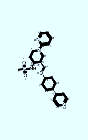 CS(=O)(=O)N[C@H]1CCN(c2ccccn2)C[C@H]1CO[C@H]1CC[C@@H](c2ccncc2)CC1